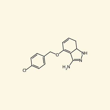 NC1=NNC2CC=CC(OCc3ccc(Cl)cc3)=C12